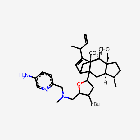 C=CC(C)C1=CC2CC3(C=O)[C@@H]4CC[C@@H](C)[C@H]4CC2(C2CC(CCCC)C(CN(C)Cc4ccc(N)cn4)O2)C13C(=O)O